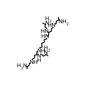 CC(N)CCNCCCC(CNCCCCCCNCC(CCCNCCC(C)N)NCCC(C)N)NCCC(C)N